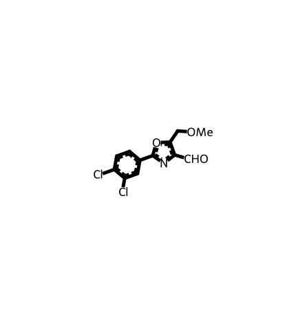 COCc1oc(-c2ccc(Cl)c(Cl)c2)nc1C=O